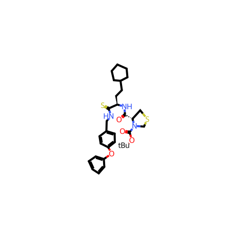 CC(C)(C)OC(=O)N1CSC[C@H]1C(=O)N[C@H](CCC1CCCCC1)C(=S)NCc1ccc(Oc2ccccc2)cc1